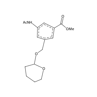 COC(=O)c1cc(COC2CCCCO2)cc(NC(C)=O)c1